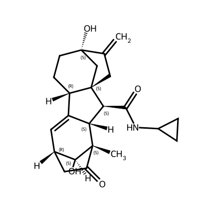 C=C1C[C@]23C[C@@]1(O)CC[C@H]2C1=C[C@H]2CC(=O)[C@@](C)([C@H]1[C@@H]3C(=O)NC1CC1)[C@H]2O